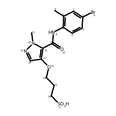 Cc1cc(Br)ccc1NC(=O)c1c(OCCCS(=O)(=O)O)cnn1C